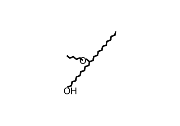 CCCCCCCCCCCCC(CCCCCCCCCCO)COCCCCC